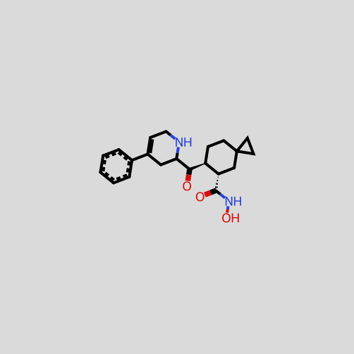 O=C(NO)[C@H]1CC2(CC[C@@H]1C(=O)C1CC(c3ccccc3)=CCN1)CC2